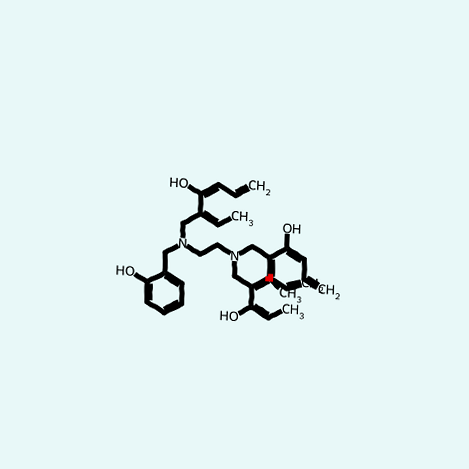 C=C/C=C(CN(CCN(CC(=C/C)/C(O)=C\C=C)Cc1ccccc1O)CC(=C/C)/C(O)=C\C=C)\C(O)=C/C